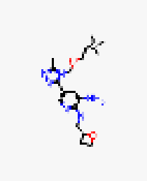 Cc1nnc(-c2cnc(NC[C@@H]3CCO3)c(N)c2)n1COCC[Si](C)(C)C